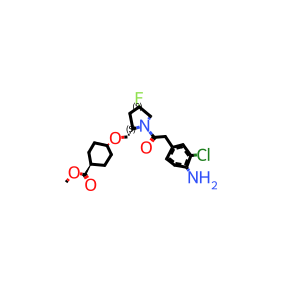 COC(=O)[C@H]1CC[C@H](OC[C@@H]2C[C@H](F)CN2C(=O)Cc2ccc(N)c(Cl)c2)CC1